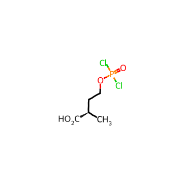 C[C@H](CCOP(=O)(Cl)Cl)C(=O)O